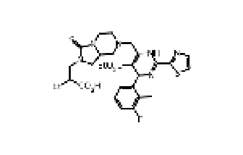 CCOC(=O)C1=C(CN2CCN3C(=S)N(CC(CC)C(=O)O)CC3C2)NC(c2nccs2)=N[C@H]1c1cccc(F)c1C